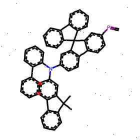 C=Pc1ccc2c(c1)C1(c3ccccc3-c3ccccc31)c1cc(N(c3ccc4c(c3)C(C)(C)c3ccccc3-4)c3ccccc3-c3ccccc3)ccc1-2